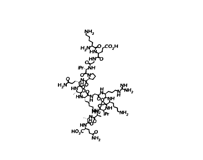 CC(C)[C@H](NC(=O)[C@H](CCCCN)NC(=O)[C@H](CCCNC(=N)N)NC(=O)CNC(=O)[C@H](CCCCN)NC(=O)[C@H](C)NC(=O)[C@H](CCC(N)=O)NC(=O)[C@@H]1CCCN1C(=O)[C@@H](NC(=O)CNC(=O)[C@H](CCC(=O)O)NC(=O)[C@@H](N)CCCCN)C(C)C)C(=O)N[C@@H](C)C(=O)N[C@@H](C)C(=O)N[C@@H](CCC(N)=O)C(=O)O